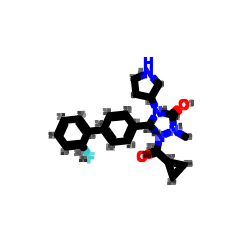 CN1C(=O)N(C2CCNC2)C(c2ccc(-c3ccccc3F)cc2)N1C(=O)C1CC1